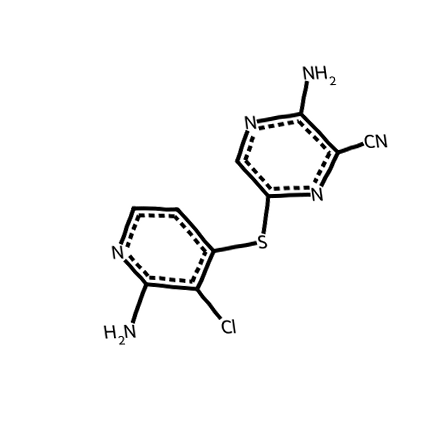 N#Cc1nc(Sc2ccnc(N)c2Cl)cnc1N